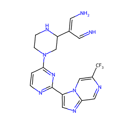 N=C/C(=C\N)C1CN(c2ccnc(-c3cnc4cnc(C(F)(F)F)cn34)n2)CCN1